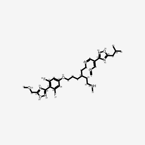 C=N/C=C(\C=N/CCC(CCCOc1cc(F)c(-c2noc(COC)n2)c(F)c1)CCNC)c1noc(CC(C)C)n1